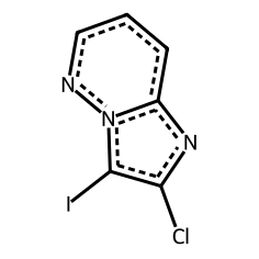 Clc1nc2cccnn2c1I